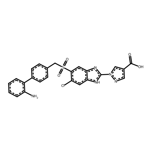 Nc1ccccc1-c1ccc(CS(=O)(=O)c2cc3nc(-n4cc(C(=O)O)cn4)[nH]c3cc2Cl)cc1